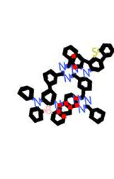 c1ccc(-c2nc(-c3ccccc3)nc(-c3ccc(-n4c5ccccc5c5c6sc7ccccc7c6ccc54)c(-c4nc(-c5ccccc5)nc(-c5cccc(-c6cc7c8c(c6)N(c6ccccc6)c6ccccc6B8c6ccccc6N7c6ccccc6)c5)n4)c3)n2)cc1